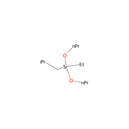 CCCO[Si](CC)(CC(C)C)OCCC